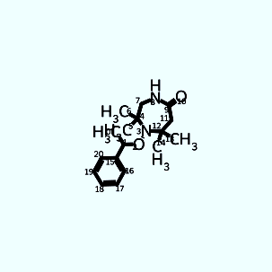 CC(ON1C(C)(C)CNC(=O)CC1(C)C)c1ccccc1